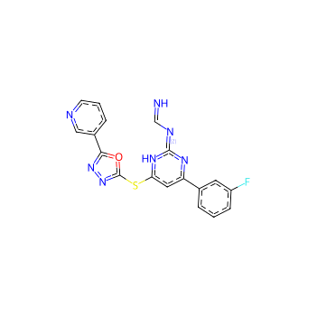 N=C/N=c1/nc(-c2cccc(F)c2)cc(Sc2nnc(-c3cccnc3)o2)[nH]1